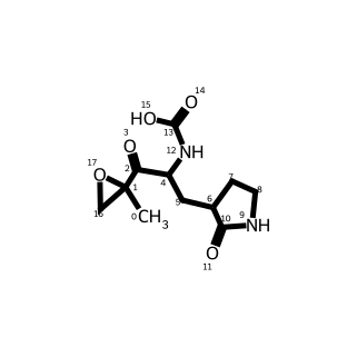 CC1(C(=O)C(CC2CCNC2=O)NC(=O)O)CO1